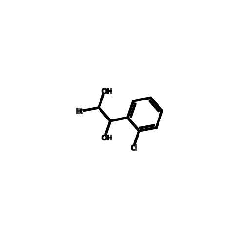 CCC(O)C(O)c1ccccc1Cl